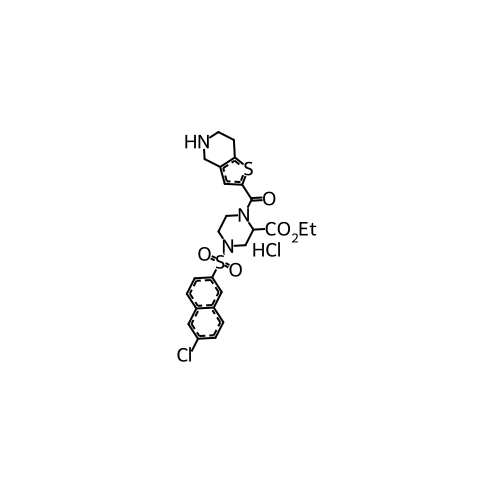 CCOC(=O)C1CN(S(=O)(=O)c2ccc3cc(Cl)ccc3c2)CCN1C(=O)c1cc2c(s1)CCNC2.Cl